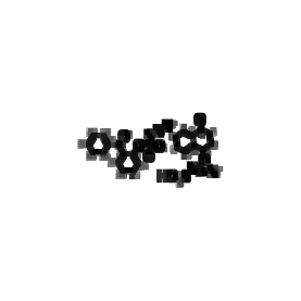 O=C1C=CC(=O)c2ccccc21.[N-]=[N+]=NS(=O)(=O)O.[N-]=[N+]=NS(=O)(=O)Oc1ccccc1C(=O)c1ccccc1